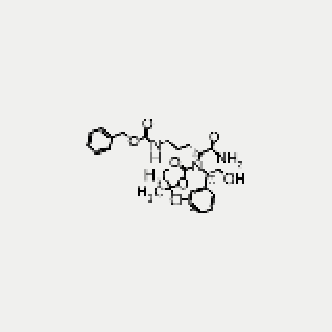 CC(C)(C)OC(=O)N([C@H](CCCNC(=O)OCc1ccccc1)C(N)=O)[C@@H](CO)c1ccccc1